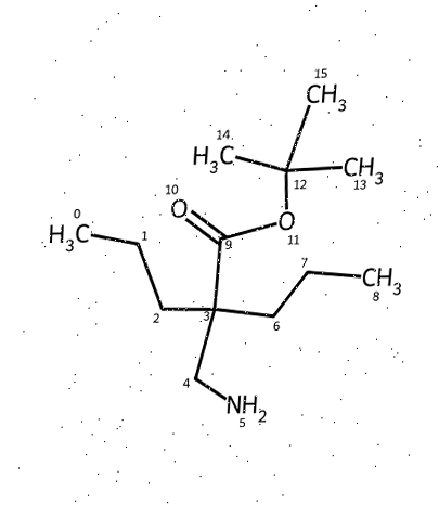 CCCC(CN)(CCC)C(=O)OC(C)(C)C